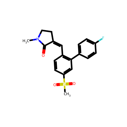 CN1CC/C(=C/c2ccc(S(C)(=O)=O)cc2-c2ccc(F)cc2)C1=O